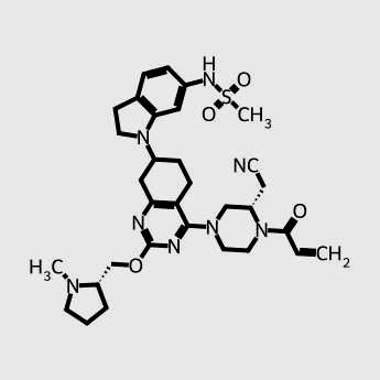 C=CC(=O)N1CCN(c2nc(OC[C@@H]3CCCN3C)nc3c2CCC(N2CCc4ccc(NS(C)(=O)=O)cc42)C3)C[C@@H]1CC#N